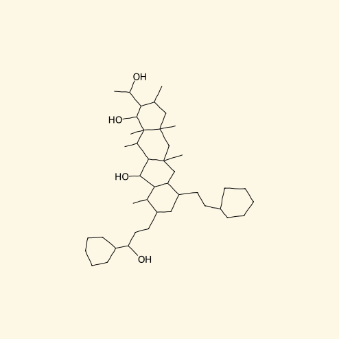 CC(O)C1C(C)CC2(C)CC3(C)CC4C(CCC5CCCCC5)CC(CCC(O)C5CCCCC5)C(C)C4C(O)C3C(C)C2(C)C1O